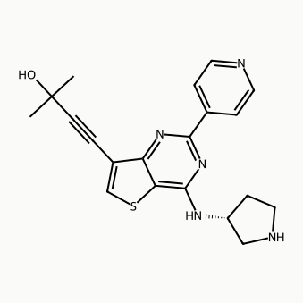 CC(C)(O)C#Cc1csc2c(N[C@@H]3CCNC3)nc(-c3ccncc3)nc12